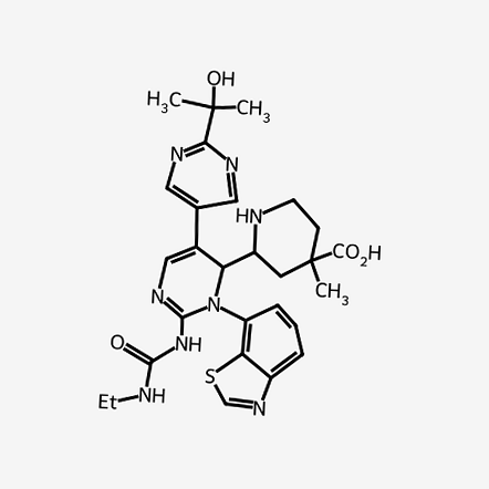 CCNC(=O)NC1=NC=C(c2cnc(C(C)(C)O)nc2)C(C2CC(C)(C(=O)O)CCN2)N1c1cccc2ncsc12